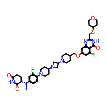 O=C1CC[C@H](Nc2ccc(N3CCC(N4CC(N5CCC(COc6cc(F)c7c(=O)[nH]c(CSC8CCOCC8)nc7c6)CC5)C4)CC3)c(F)c2)C(=O)N1